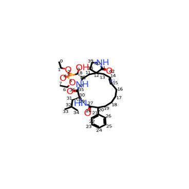 CCOP(=O)(OCC)C(O)[C@@H]1CC2(C/C=C/CCCCC(c3ccccc3)C(=O)N[C@@H](CC(C)C)C(=O)N1)CCNC2=O